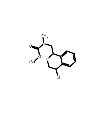 CN(CC1OCC(Cl)c2ccccc21)C(=O)OC(C)(C)C